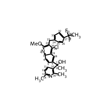 COc1nc2ccc(C(C)(O)c3ccc(C)nc3C)cc2c(Cl)c1Cc1ccc(C(C)(F)F)cc1